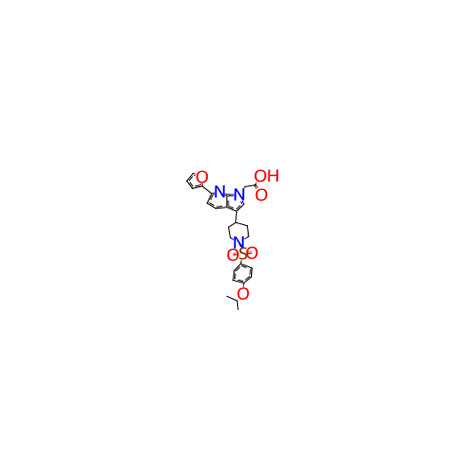 CC(C)Oc1ccc(S(=O)(=O)N2CCC(c3cn(CC(=O)O)c4nc(-c5ccco5)ccc34)CC2)cc1